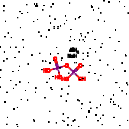 O=P(O)(O)OP(=O)(O)O.[AlH3].[NaH]